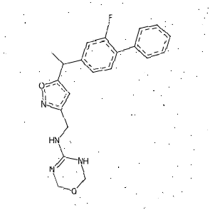 CC(c1ccc(-c2ccccc2)c(F)c1)c1cc(CNC2=NCOCN2)no1